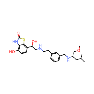 COC[C@H](CC(C)C)NCc1cccc(CCNC[C@H](O)c2ccc(O)c3[nH]c(=O)sc23)c1